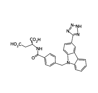 O=C(O)C[C@H](NC(=O)c1ccc(Cn2c3ccccc3c3cc(-c4nn[nH]n4)ccc32)cc1)C(=O)O